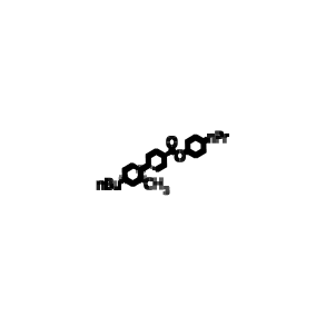 CCCC[C@H]1CC[C@@H]([C@H]2CC[C@H](C(=O)OC3CCC(CCC)CC3)CC2)[C@H](C)C1